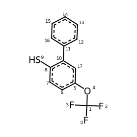 FC(F)(F)Oc1ccc(S)c(-c2ccccc2)c1